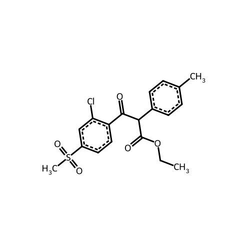 CCOC(=O)C(C(=O)c1ccc(S(C)(=O)=O)cc1Cl)c1ccc(C)cc1